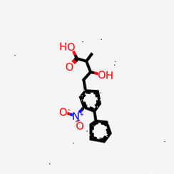 CC(C(=O)O)C(O)Cc1ccc(-c2ccccc2)c([N+](=O)[O-])c1